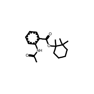 CC(=O)Nc1ccccc1C(=O)OC1(C)CCCCC1(C)C